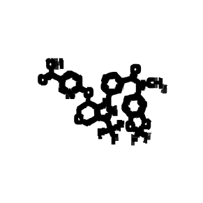 CN(C(=O)c1cccc(-n2nc(C(F)(F)F)c3c2[C@H](Oc2ccc(C(=O)O)cn2)COC3)c1)c1ccc2c(c1)OC(F)(F)O2